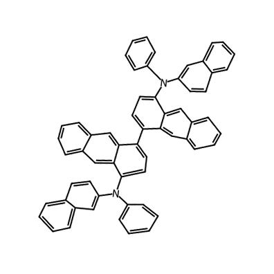 c1ccc(N(c2ccc3ccccc3c2)c2ccc(-c3ccc(N(c4ccccc4)c4ccc5ccccc5c4)c4cc5ccccc5cc34)c3cc4ccccc4cc23)cc1